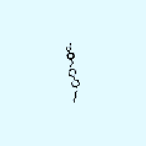 CCCCC[C@H]1CC[C@H]([C@H]2CC[C@H](CCc3ccc(OCC)cc3)CC2)CC1